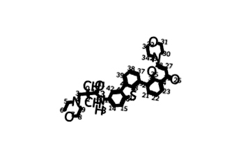 CC(C)(CN1CCOCC1)C(=O)Nc1ccc2sc3c(-c4cccc5c(=O)cc(N6CCOCC6)oc45)cccc3c2c1